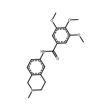 COc1cc(C(=O)Nc2ccc3c(c2)CCN(C)C3)cc(OC)c1OC